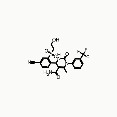 CC1=C(C(N)=O)C(c2ccc(C#N)cc2S(=O)(=O)CCO)NC(=O)N1c1cccc(C(F)(F)F)c1